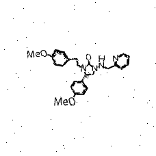 COc1ccc(CCN2C(=O)N(NCc3ccccn3)C[C@H]2c2ccc(OC)cc2)cc1